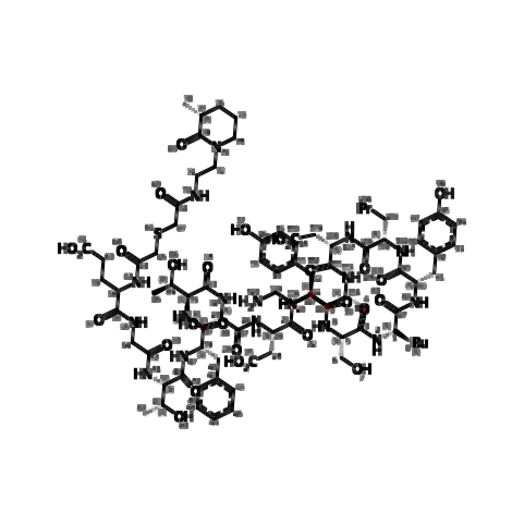 CC[C@H](C)[C@H](NC(=O)[C@H](CO)NC(=O)[C@H](Cc1ccc(O)cc1)NC(=O)[C@H](CC(=O)O)NC(=O)[C@H](CO)NC(=O)[C@@H](NC(=O)[C@H](Cc1ccccc1)NC(=O)[C@@H](NC(=O)CNC(=O)C(CCC(=O)O)NC(=O)CSCC(=O)NCCN1CCC[C@@H](C)C1=O)[C@@H](C)O)[C@@H](C)O)C(=O)N[C@@H](Cc1ccc(O)cc1)C(=O)N[C@@H](CC(C)C)C(=O)N[C@@H](CC(=O)O)C(=O)N[C@H](C)CCCCN